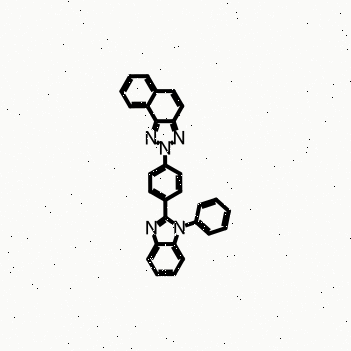 c1ccc(-n2c(-c3ccc(-n4nc5ccc6ccccc6c5n4)cc3)nc3ccccc32)cc1